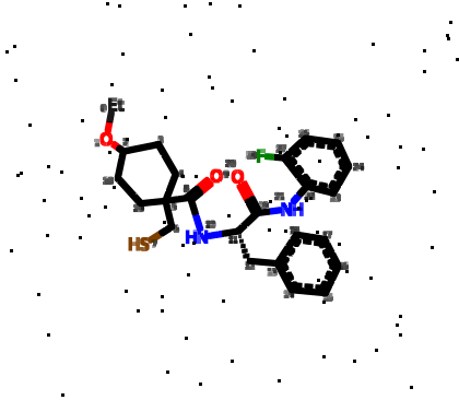 CCOC1CCC(CS)(C(=O)N[C@@H](Cc2ccccc2)C(=O)Nc2ccccc2F)CC1